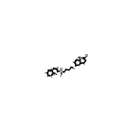 O=c1ccc2cc(OCCCCS(=O)(=O)c3ccc4ccccc4n3)ccc2[nH]1